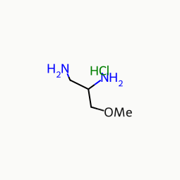 COCC(N)CN.Cl